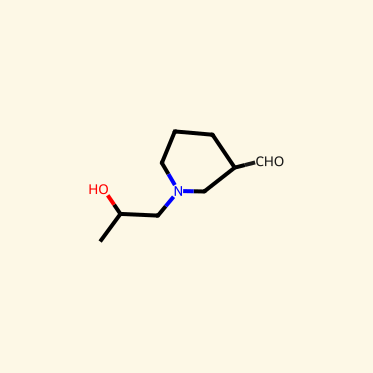 CC(O)CN1CCCC(C=O)C1